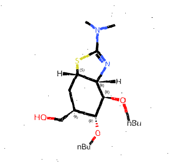 CCCCO[C@@H]1[C@@H](CO)C[C@@H]2SC(N(C)C)=N[C@@H]2[C@H]1OCCCC